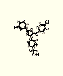 CC(C)(O)c1ccc(-c2nc(-c3cccc(F)c3)oc2Sc2ccc(Cl)cn2)cn1